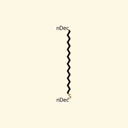 CCCCCCCCCCCCCCCCCCCCCCCCCCCCSCCCCCCCCCC